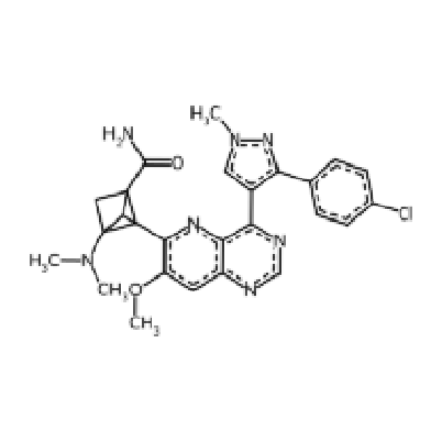 COc1cc2ncnc(-c3cn(C)nc3-c3ccc(Cl)cc3)c2nc1C1C2(C(N)=O)CC1(N(C)C)C2